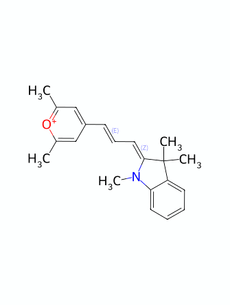 Cc1cc(/C=C/C=C2\N(C)c3ccccc3C2(C)C)cc(C)[o+]1